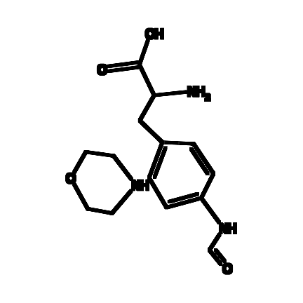 C1COCCN1.NC(Cc1ccc(NC=O)cc1)C(=O)O